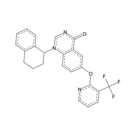 O=c1ncn(C2CCCc3ccccc32)c2ccc(Oc3ncccc3C(F)(F)F)cc12